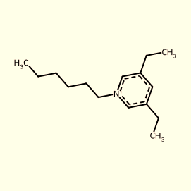 CCCCCC[n+]1cc(CC)cc(CC)c1